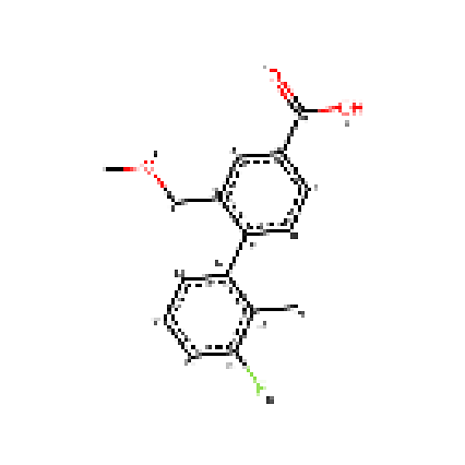 COCc1cc(C(=O)O)ccc1-c1cccc(F)c1C